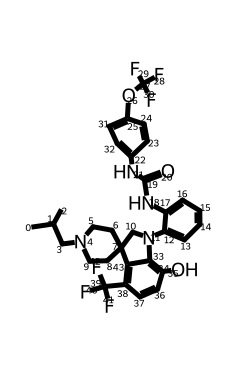 CC(C)CN1CCC2(CC1)CN(c1ccccc1NC(=O)Nc1ccc(OC(F)(F)F)cc1)c1c(O)ccc(C(F)(F)F)c12